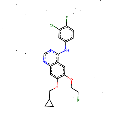 Fc1ccc(Nc2ncnc3cc(OCC4CC4)c(OCCBr)cc23)cc1Cl